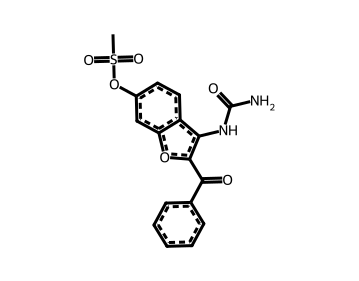 CS(=O)(=O)Oc1ccc2c(NC(N)=O)c(C(=O)c3ccccc3)oc2c1